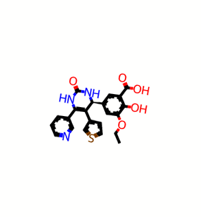 CCOc1cc([C@@H]2NC(=O)NC(c3cccnc3)=C2c2ccsc2)cc(C(=O)O)c1O